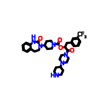 O=C(OC(Cc1cccc(C(F)(F)F)c1)C(=O)N1CCN(C2CCNCC2)CC1)N1CCC(N2CCc3ccccc3NC2=O)CC1